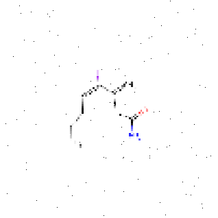 C=C(CC(N)=O)/C(I)=C\CCC